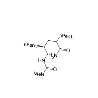 CCCCCC(C[C@H](CCCCC)CNC(=O)NC)C(N)=O